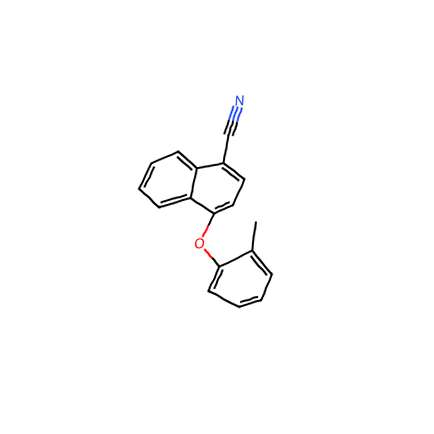 Cc1ccccc1Oc1ccc(C#N)c2ccccc12